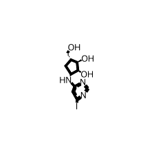 OC[C@H]1C[C@@H](Nc2cc(I)ncn2)[C@H](O)[C@@H]1O